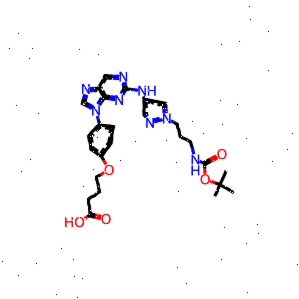 CC(C)(C)OC(=O)NCCCn1cc(Nc2ncc3ncn(-c4ccc(OCCCC(=O)O)cc4)c3n2)cn1